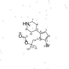 Brc1ccc(C2CCNCC2)s1.CC(C)(C)OC=O